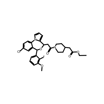 CCOC(=O)CC1CCN(C(=O)CC2OC(c3cccc(OC)c3F)c3cc(Cl)ccc3-n3cccc32)CC1